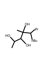 CCCCC(C(C)C)C(C)(O)C(O)C(C)O